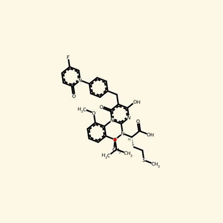 COc1cccc(OC)c1-n1c(N(OC(C)C)[C@@H](CCSC)C(=O)O)nc(O)c(Cc2ccc(-n3cc(F)ccc3=O)cc2)c1=O